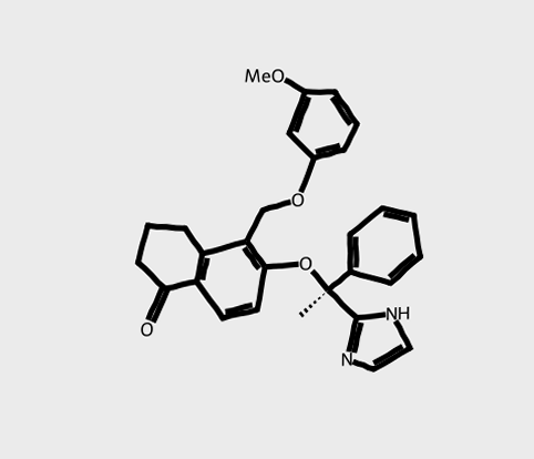 COc1cccc(OCc2c(O[C@@](C)(c3ccccc3)c3ncc[nH]3)ccc3c2CCCC3=O)c1